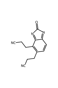 N#CCCc1ccc2c(c1CCC#N)=NC(=O)N=2